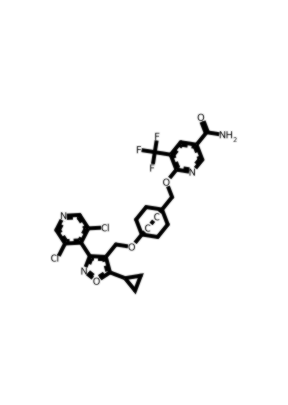 NC(=O)c1cnc(OCC23CCC(OCc4c(-c5c(Cl)cncc5Cl)noc4C4CC4)(CC2)CC3)c(C(F)(F)F)c1